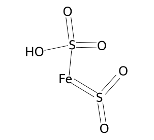 O=[S](=O)=[Fe][S](=O)(=O)O